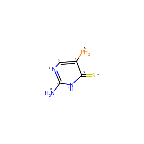 Nc1ncc(P)c(=S)[nH]1